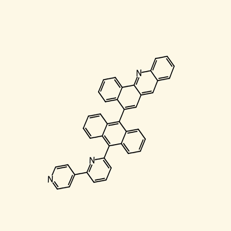 c1cc(-c2ccncc2)nc(-c2c3ccccc3c(-c3cc4cc5ccccc5nc4c4ccccc34)c3ccccc23)c1